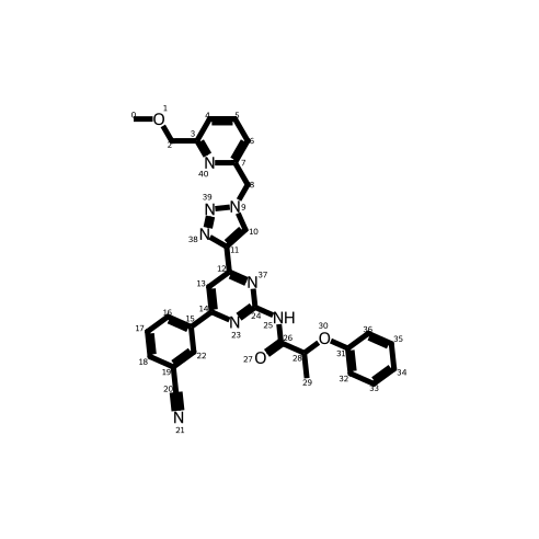 COCc1cccc(Cn2cc(-c3cc(-c4cccc(C#N)c4)nc(NC(=O)C(C)Oc4ccccc4)n3)nn2)n1